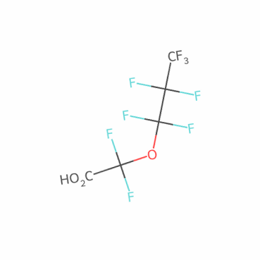 O=C(O)C(F)(F)OC(F)(F)C(F)(F)C(F)(F)F